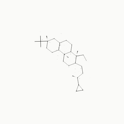 C[C@H]([C@H](O)C1CC1)[C@H]1CC[C@H]2[C@@H]3CC[C@@H]4C[C@@](O)(C(F)(F)F)CC[C@]4(C)[C@H]3CC[C@]12C